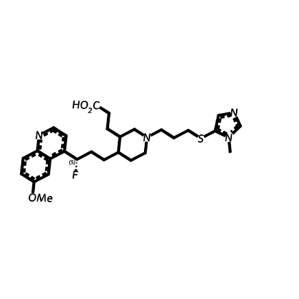 COc1ccc2nccc([C@@H](F)CCC3CCN(CCCSc4cncn4C)CC3CCC(=O)O)c2c1